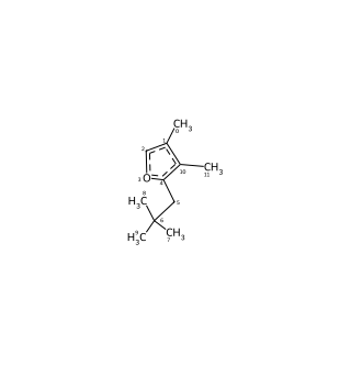 Cc1coc(CC(C)(C)C)c1C